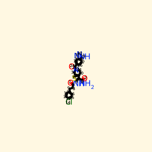 NC(=O)c1c(NC(=O)CCc2ccc(Cl)cc2)sc2c1CCN(C(=O)c1ccc3[nH]nnc3c1)C2